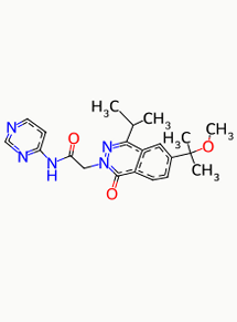 COC(C)(C)c1ccc2c(=O)n(CC(=O)Nc3ccncn3)nc(C(C)C)c2c1